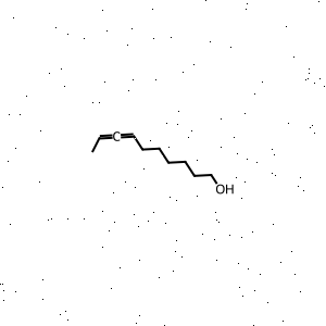 CC=C=CCCCCCCO